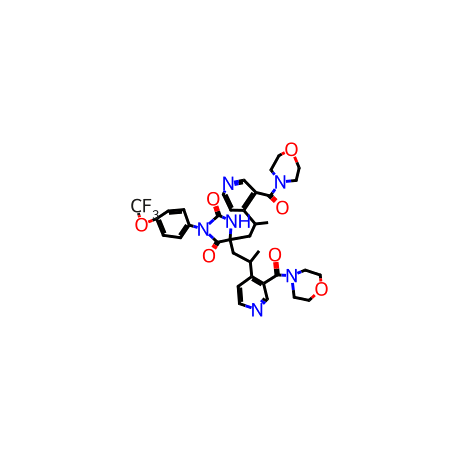 CC(CC1(CC(C)c2ccncc2C(=O)N2CCOCC2)NC(=O)N(c2ccc(OC(F)(F)F)cc2)C1=O)c1ccncc1C(=O)N1CCOCC1